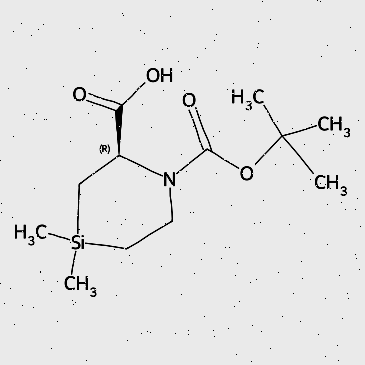 CC(C)(C)OC(=O)N1CC[Si](C)(C)C[C@H]1C(=O)O